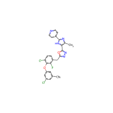 Cc1nc(-c2ccncc2)[nH]c1-c1nnc(Cc2ccc(Cl)c(Oc3cc(Cl)cc(C#N)c3)c2F)o1